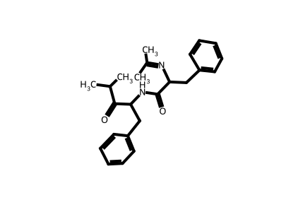 CC(C)=NC(Cc1ccccc1)C(=O)NC(Cc1ccccc1)C(=O)C(C)C